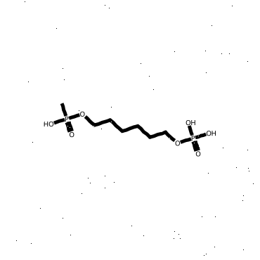 CP(=O)(O)OCCCCCCOP(=O)(O)O